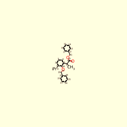 CC(C)c1cccc(C(C)C(=O)OCc2ccccc2)c1OCc1ccccc1